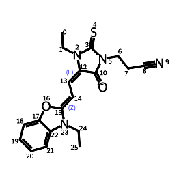 CCN1C(=S)N(CCC#N)C(=O)/C1=C\C=C1/Oc2ccccc2N1CC